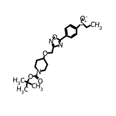 CC[S+]([O-])c1ccc(-c2nc(COC3CCN(C(=O)OC(C)(C)C)CC3)no2)cc1